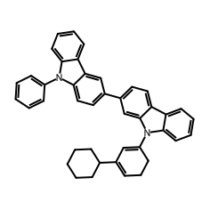 C1=C(C2CCCCC2)C=C(n2c3ccccc3c3ccc(-c4ccc5c(c4)c4ccccc4n5-c4ccccc4)cc32)CC1